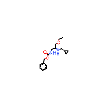 CCOCC(CNC(=O)OCc1ccccc1)NCC1CC1